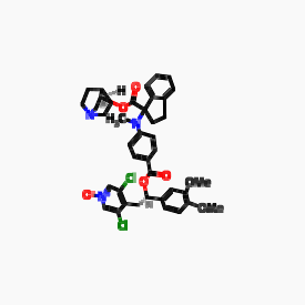 COc1ccc([C@H](Cc2c(Cl)c[n+]([O-])cc2Cl)OC(=O)c2ccc(N(C)C3(C(=O)O[C@H]4CN5CCC4CC5)CCc4ccccc43)cc2)cc1OC